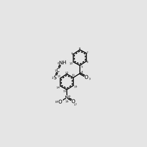 N=C=S.O=C(c1ccccc1)c1cccc([N+](=O)[O-])c1